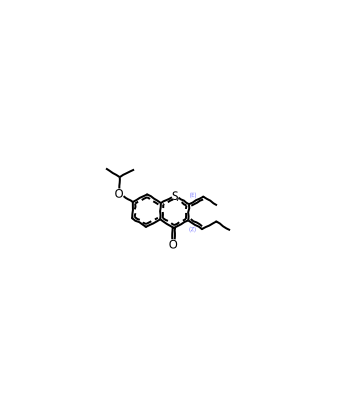 C/C=c1/sc2cc(OC(C)C)ccc2c(=O)/c1=C/CC